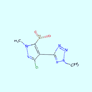 Cn1nnc(-c2c(Cl)nn(C)c2[SH](=O)=O)n1